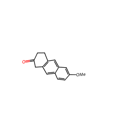 COc1ccc2cc3c(cc2c1)CCC(=O)C3